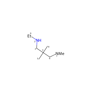 CCNCC(C)(C)CNC